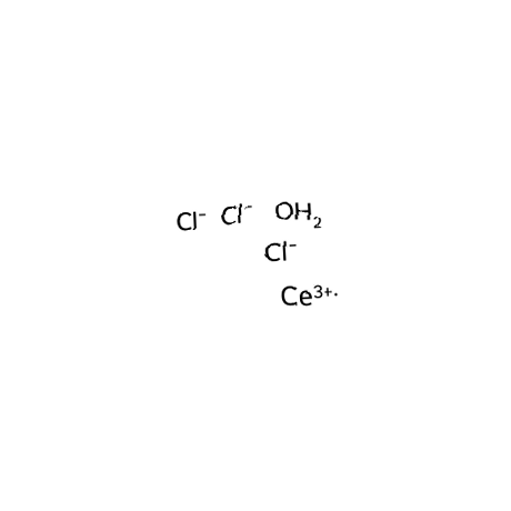 O.[Ce+3].[Cl-].[Cl-].[Cl-]